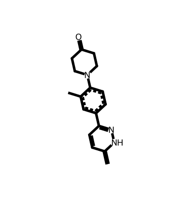 C=C1C=CC(c2ccc(N3CCC(=O)CC3)c(C)c2)=NN1